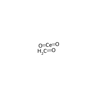 C=O.[O]=[Ce]=[O]